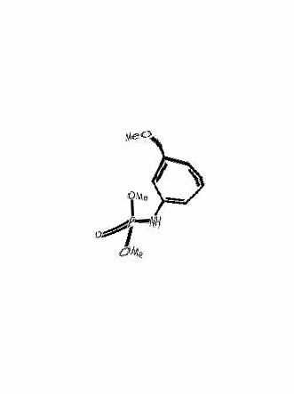 COc1cccc(NP(=O)(OC)OC)c1